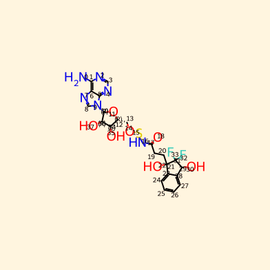 Nc1ncnc2c1ncn2[C@@H]1O[C@H](COSNC(=O)CCC2(O)c3ccccc3C(O)C2(F)F)[C@@H](O)[C@H]1O